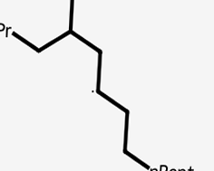 CCCCCCC[CH]CC(C)CC(C)C